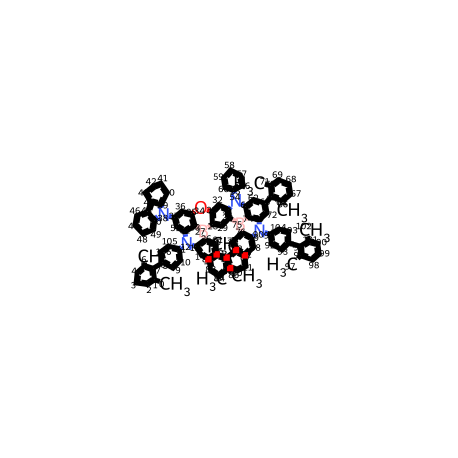 Cc1cccc(C)c1-c1ccc(N2c3ccc(-c4c(C)cccc4C)cc3B3c4cc5c(cc4Oc4cc(-n6c7ccccc7c7ccccc76)cc2c43)N(c2ccccc2)c2cc(-c3c(C)cccc3C)cc3c2B5c2cc(-c4c(C)cccc4C)ccc2N3c2ccc(-c3c(C)cccc3C)cc2)cc1